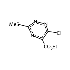 CCOC(=O)c1nc(SC)nnc1Cl